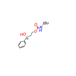 CC(C)(C)NC(=O)OCC[C@@H](O)c1ccccc1